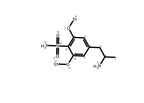 CCOc1cc(CC(C)N)cc(OCC)c1S(N)(=O)=O